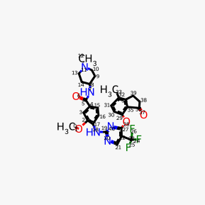 COc1cc(C(=O)NC2CCN(C)CC2)ccc1Nc1ncc(C(F)(F)F)c(Oc2ccc(C)c3c2C(=O)CC3)n1